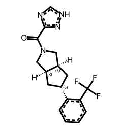 O=C(c1nc[nH]n1)N1C[C@H]2C[C@H](c3ccccc3C(F)(F)F)C[C@H]2C1